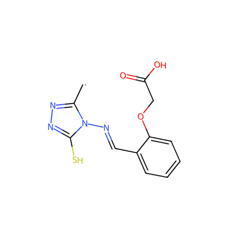 [CH2]c1nnc(S)n1N=Cc1ccccc1OCC(=O)O